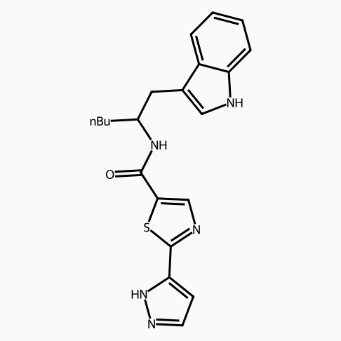 CCCCC(Cc1c[nH]c2ccccc12)NC(=O)c1cnc(-c2ccn[nH]2)s1